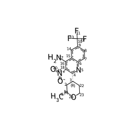 C[C@@H]1C[C@H](c2nc3ccc(C(F)(F)F)cc3c(N)c2[N+](=O)[O-])CCO1